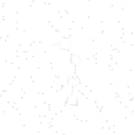 O=C(O)c1cc(-c2nc(-c3ccc(Cl)c(Cl)c3)cs2)ccc1-c1ccccc1F